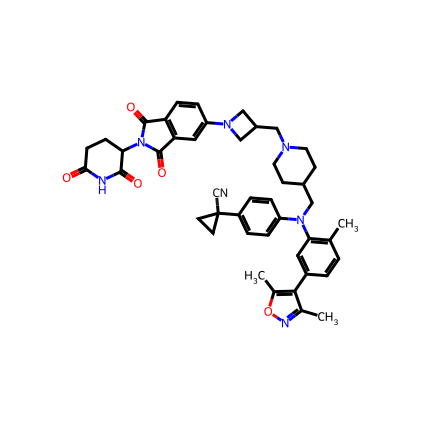 Cc1ccc(-c2c(C)noc2C)cc1N(CC1CCN(CC2CN(c3ccc4c(c3)C(=O)N(C3CCC(=O)NC3=O)C4=O)C2)CC1)c1ccc(C2(C#N)CC2)cc1